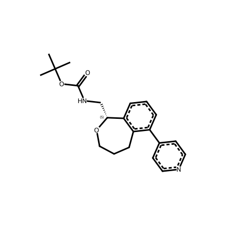 CC(C)(C)OC(=O)NC[C@H]1OCCCc2c(-c3ccncc3)cccc21